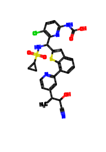 CC(c1ccnc(-c2cccc3cc(C(NS(=O)(=O)C4CC4)c4nc(NC(=O)O)ccc4Cl)sc23)c1)C(O)C#N